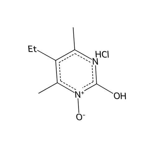 CCc1c(C)nc(O)[n+]([O-])c1C.Cl